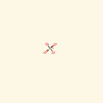 [O]=[Tc](=[O])([O-])[O-]